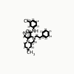 CN1CCN2C(C=N)=C(C(=O)Nc3cccc(Cl)c3)N(CCc3ccccc3)CC2C1